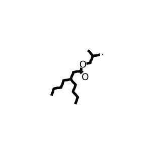 [CH2]C(C)COC(=O)CC(CCCC)CCCC